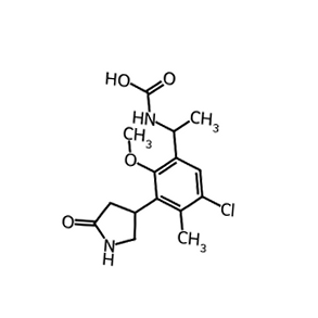 COc1c(C(C)NC(=O)O)cc(Cl)c(C)c1C1CNC(=O)C1